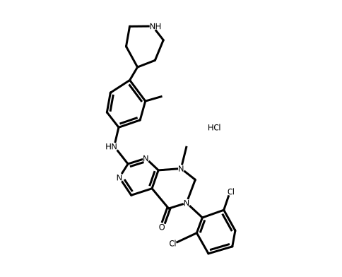 Cc1cc(Nc2ncc3c(n2)N(C)CN(c2c(Cl)cccc2Cl)C3=O)ccc1C1CCNCC1.Cl